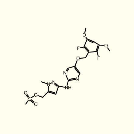 COc1cc(OC)c(F)c(COc2cnc(Nc3cc(COS(C)(=O)=O)n(C)n3)nc2)c1F